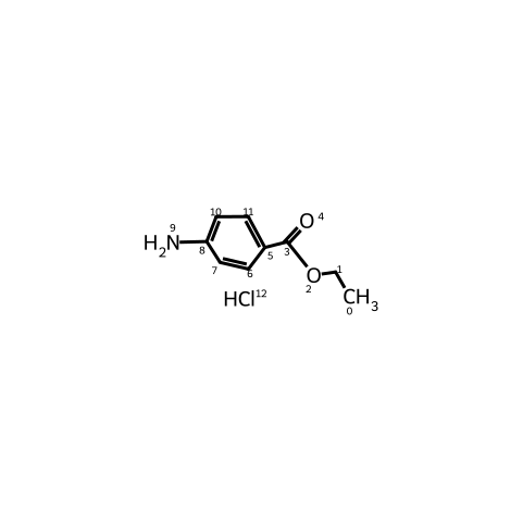 CCOC(=O)c1ccc(N)cc1.Cl